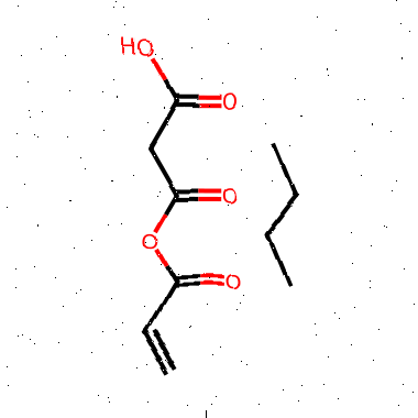 C=CC(=O)OC(=O)CC(=O)O.CCCC